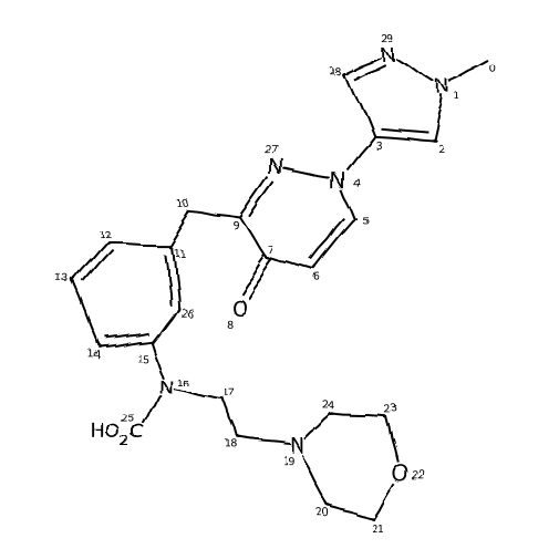 Cn1cc(-n2ccc(=O)c(Cc3cccc(N(CCN4CCOCC4)C(=O)O)c3)n2)cn1